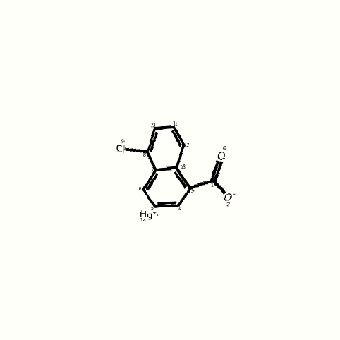 O=C([O-])c1cccc2c(Cl)cccc12.[Hg+]